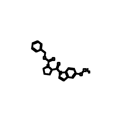 COc1ccc2c(ccn2C(=O)C2CCCN2C(=O)OCc2ccccc2)c1